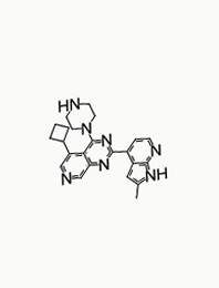 Cc1cc2c(-c3nc(N4CCNCC4)c4c(C5CCC5)cncc4n3)ccnc2[nH]1